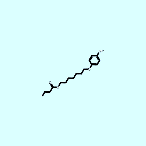 CC=CC(=O)OCCCCCCCOc1ccc(CCC)cc1